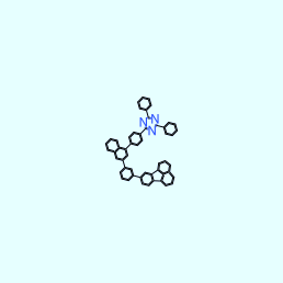 c1ccc(-c2nc(-c3ccccc3)nc(-c3ccc(-c4cc(-c5cccc(-c6ccc7c(c6)-c6cccc8cccc-7c68)c5)cc5ccccc45)cc3)n2)cc1